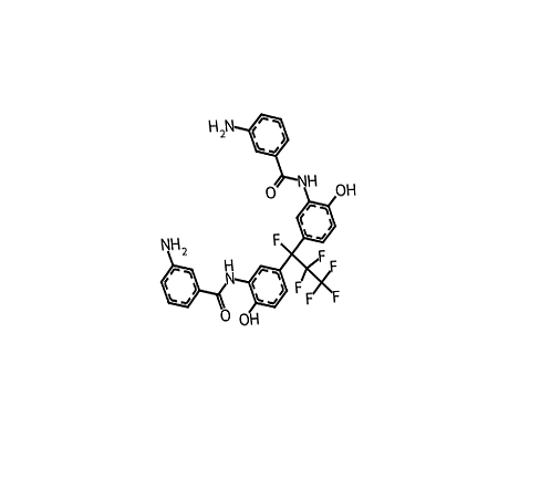 Nc1cccc(C(=O)Nc2cc(C(F)(c3ccc(O)c(NC(=O)c4cccc(N)c4)c3)C(F)(F)C(F)(F)F)ccc2O)c1